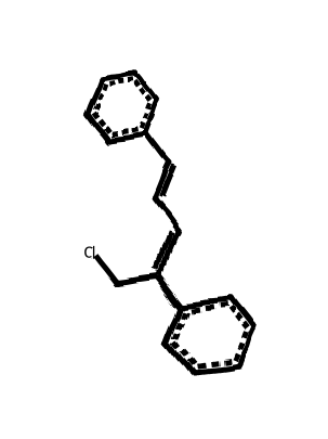 ClCC(=CC=Cc1ccccc1)c1ccccc1